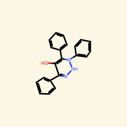 OC1=C(c2ccccc2)N(c2ccccc2)NN=C1c1ccccc1